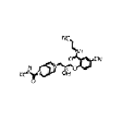 CCNC(=O)N1CC2CC(CN(C[C@@H](O)COc3ccc(C#N)cc3C(=O)NCCC#N)C2)C1